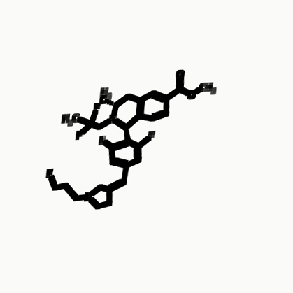 COC(=O)c1ccc2c(c1)C[C@@H](C)N(CC(C)(F)F)[C@@H]2c1c(F)cc(/C=C2/CCN(CCCF)C2)cc1F